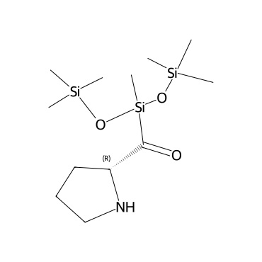 C[Si](C)(C)O[Si](C)(O[Si](C)(C)C)C(=O)[C@H]1CCCN1